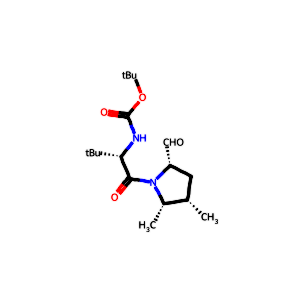 C[C@H]1C[C@@H](C=O)N(C(=O)[C@@H](NC(=O)OC(C)(C)C)C(C)(C)C)[C@H]1C